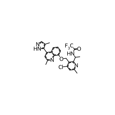 Cc1cc(Cl)c(COc2cccc3c(-c4[nH]ncc4C)cc(C)nc23)c(C(C)NC(=O)C(F)(F)F)n1